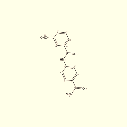 CNC(=O)c1ccc(NC(=O)c2cccc(C=O)c2)cc1